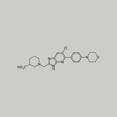 O=C(O)C1CCCN(Cc2nc3cc(Cl)c(-c4ccc(N5CCOCC5)cc4)nc3[nH]2)C1